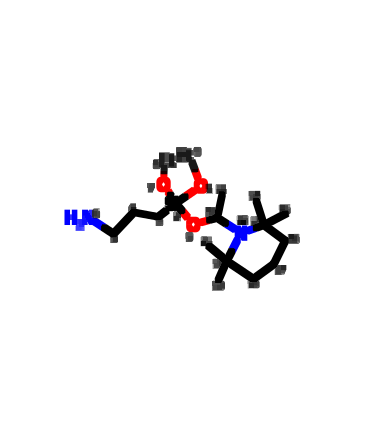 CCO[Si](CCCN)(OCC)OC(C)N1C(C)(C)CCCC1(C)C